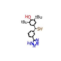 CC(C)(C)c1cc(C(S)c2cccc(-c3nnn[nH]3)c2)cc(C(C)(C)C)c1O